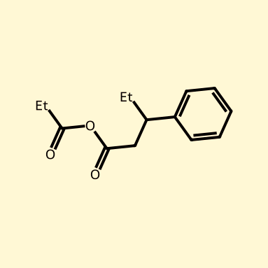 CCC(=O)OC(=O)CC(CC)c1ccccc1